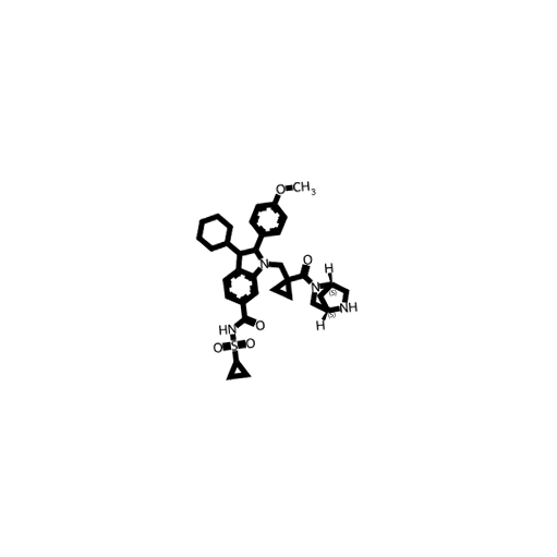 COc1ccc(C2C(C3CCCCC3)c3ccc(C(=O)NS(=O)(=O)C4CC4)cc3N2CC2(C(=O)N3C[C@@H]4C[C@H]3CN4)CC2)cc1